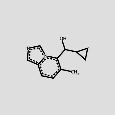 Cc1ccc2cncn2c1C(O)C1CC1